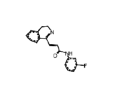 O=C(C=CC1=NCCc2ccccc21)Nc1cccc(F)c1